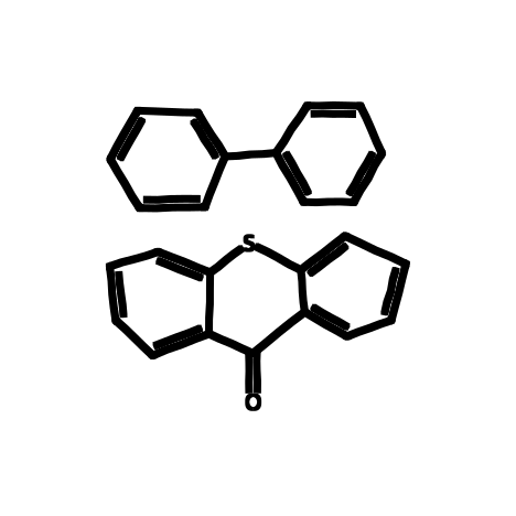 O=c1c2ccccc2sc2ccccc12.c1ccc(-c2ccccc2)cc1